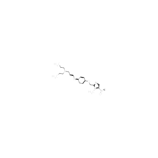 CCCN(CC=CN=C1C=CC(OCc2ncc([N+](=O)[O-])n2C)=CC1)CCC